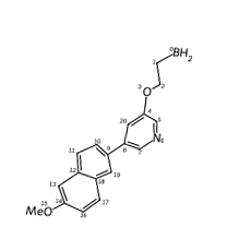 BCCOc1cncc(-c2ccc3cc(OC)ccc3c2)c1